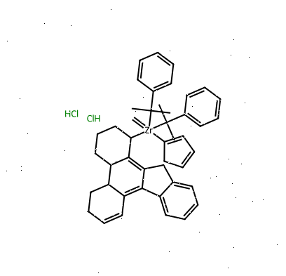 Cl.Cl.[CH2]=[Zr]([C]1=CC=CC1)([CH]1CCCC2C1=C1Cc3ccccc3C1=C1C=CCCC12)([C](C)(C)c1ccccc1)[C](C)(C)c1ccccc1